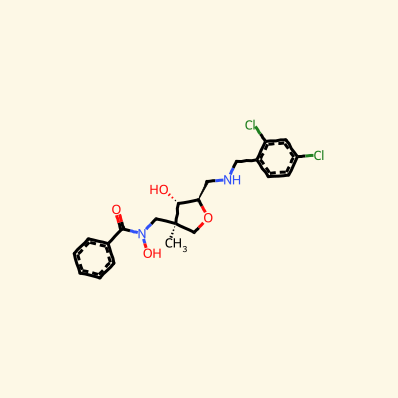 C[C@@]1(CN(O)C(=O)c2ccccc2)CO[C@H](CNCc2ccc(Cl)cc2Cl)[C@H]1O